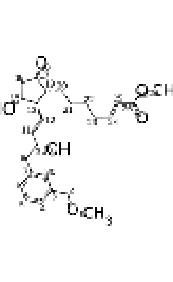 COCc1cccc(C[C@@H](O)/C=C/[C@H]2[C@H](O)CC(=O)[C@@H]2CCCC/C=C/C(=O)OC)c1